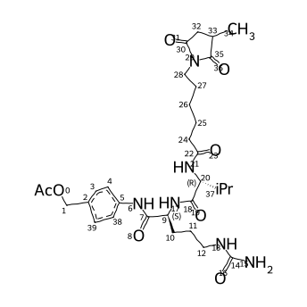 CC(=O)OCc1ccc(NC(=O)[C@H](CCCNC(N)=O)NC(=O)[C@H](NC(=O)CCCCCN2C(=O)CC(C)C2=O)C(C)C)cc1